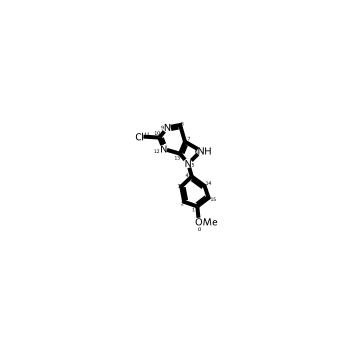 COc1ccc(-n2[nH]c3cnc(Cl)nc32)cc1